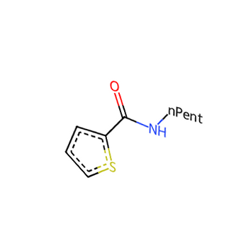 CCCCCNC(=O)c1cccs1